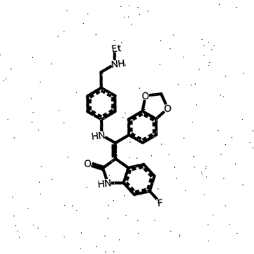 CCNCc1ccc(N/C(=C2\C(=O)Nc3cc(F)ccc32)c2ccc3c(c2)OCO3)cc1